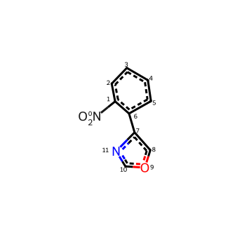 O=[N+]([O-])c1ccccc1-c1cocn1